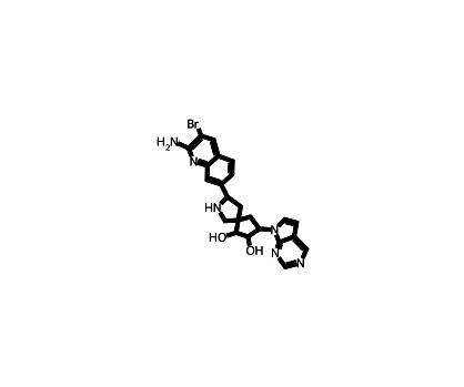 Nc1nc2cc(C3CC4(CN3)CC(n3ccc5cncnc53)C(O)C4O)ccc2cc1Br